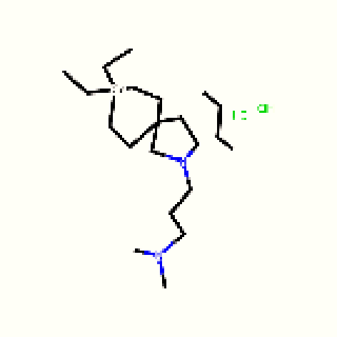 CCCC.C[CH2][Ge]1([CH2]C)[CH2]CC2(CCN(CCCN(C)C)C2)C[CH2]1.Cl.Cl